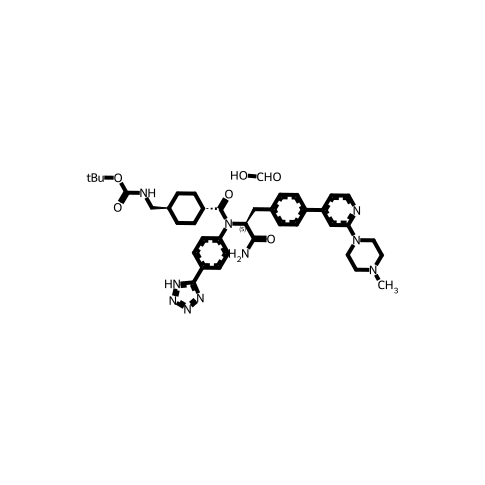 CN1CCN(c2cc(-c3ccc(C[C@@H](C(N)=O)N(c4ccc(-c5nnn[nH]5)cc4)C(=O)[C@H]4CC[C@H](CNC(=O)OC(C)(C)C)CC4)cc3)ccn2)CC1.O=CO